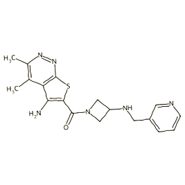 Cc1nnc2sc(C(=O)N3CC(NCc4cccnc4)C3)c(N)c2c1C